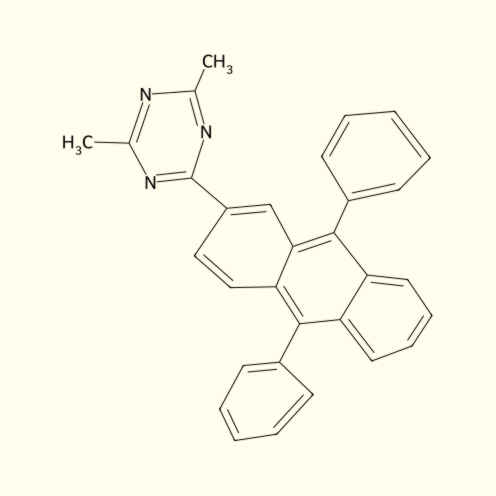 Cc1nc(C)nc(-c2ccc3c(-c4ccccc4)c4ccccc4c(-c4ccccc4)c3c2)n1